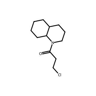 O=C(CCCl)N1CCCC2CCCCC21